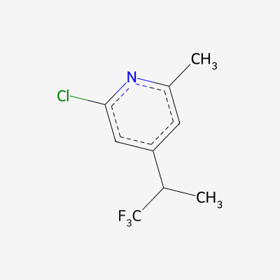 Cc1cc(C(C)C(F)(F)F)cc(Cl)n1